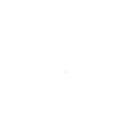 Nc1cc(NC(=O)c2ccccc2)ccc1Cl